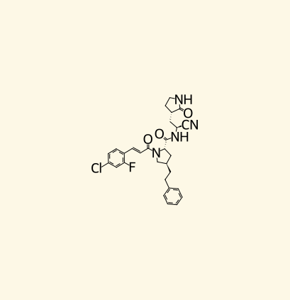 N#C[C@H](C[C@@H]1CCNC1=O)NC(=O)[C@@H]1C[C@@H](CCc2ccccc2)CN1C(=O)/C=C/c1ccc(Cl)cc1F